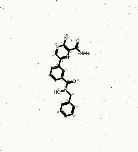 CNC(=O)c1nc(-c2cccc(C(=O)N(O)Cc3ccccc3)c2)cnc1N